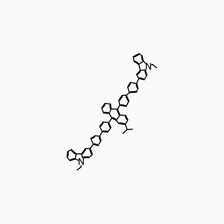 CCn1c2ccccc2c2cc(-c3ccc(-c4ccc(-c5c6ccccc6c(-c6ccc(-c7ccc(-c8ccc9c(c8)c8ccccc8n9CC)cc7)cc6)c6cc(C(C)C)ccc56)cc4)cc3)ccc21